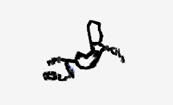 CCC/C(=N\C(C)(C)C)c1ccc2c(c1)c1c(n2C)CCCC1